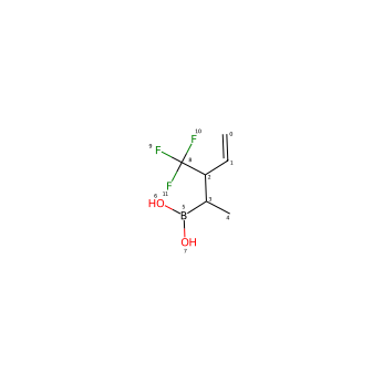 C=CC(C(C)B(O)O)C(F)(F)F